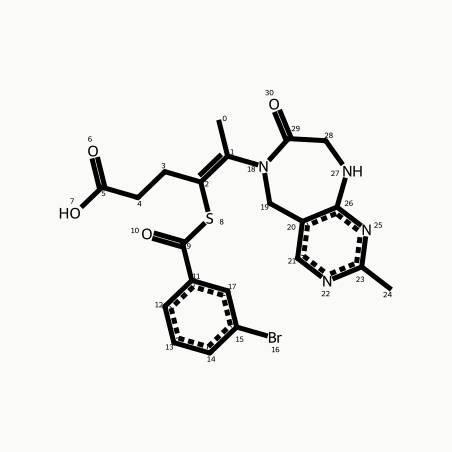 C/C(=C(\CCC(=O)O)SC(=O)c1cccc(Br)c1)N1Cc2cnc(C)nc2NCC1=O